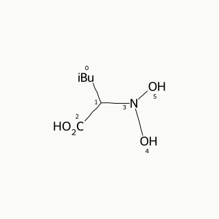 CCC(C)C(C(=O)O)N(O)O